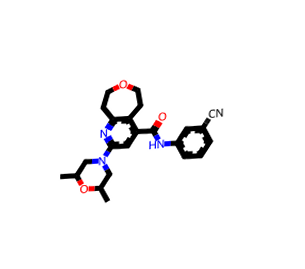 CC1CN(c2cc(C(=O)Nc3cccc(C#N)c3)c3c(n2)CCOCC3)CC(C)O1